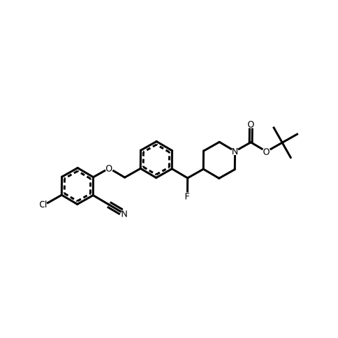 CC(C)(C)OC(=O)N1CCC(C(F)c2cccc(COc3ccc(Cl)cc3C#N)c2)CC1